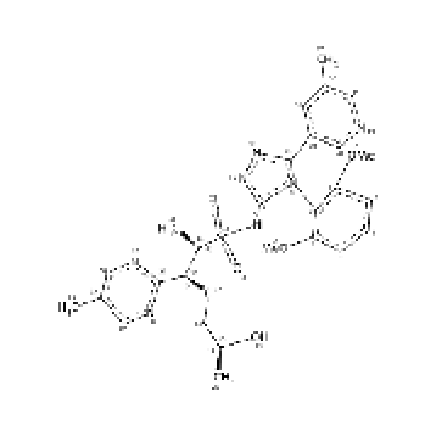 COc1cccc(OC)c1-n1c(NS(=O)(=O)[C@H](C)[C@@H](OC[C@H](C)O)c2ncc(C)cn2)nnc1-c1cncc(C)c1